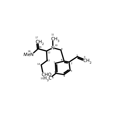 C=Cc1ccc(C)cc1CN(C)C(CCC=O)C(=C)NC